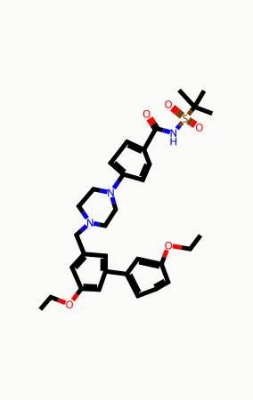 CCOc1cccc(-c2cc(CN3CCN(c4ccc(C(=O)NS(=O)(=O)C(C)(C)C)cc4)CC3)cc(OCC)c2)c1